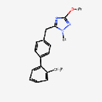 CCCOc1nc(Cc2ccc(-c3ccccc3C(=O)O)cc2)n(CC)n1